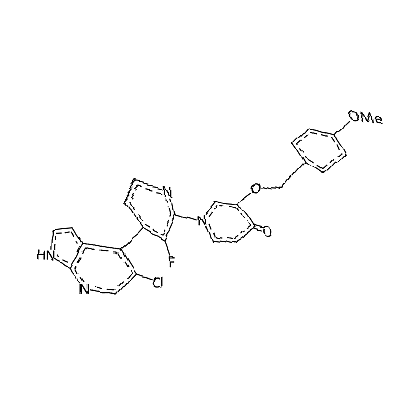 COc1ccc(COc2cn(-c3nccc(-c4c(Cl)cnc5[nH]ccc45)c3F)ccc2=O)cc1